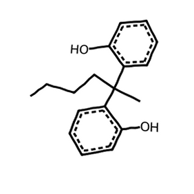 CCCCC(C)(c1ccccc1O)c1ccccc1O